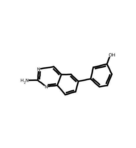 Nc1ncc2cc(-c3cccc(O)c3)ccc2n1